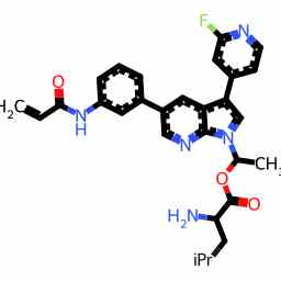 C=CC(=O)Nc1cccc(-c2cnc3c(c2)c(-c2ccnc(F)c2)cn3C(C)OC(=O)C(N)CC(C)C)c1